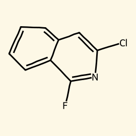 Fc1nc(Cl)cc2ccccc12